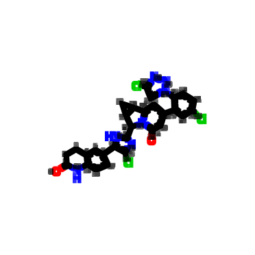 O=C1CCc2cc(-c3[nH]c(C4C5CC5c5cc(-c6cc(Cl)ccc6-n6cc(Cl)nn6)cc(=O)n54)nc3Cl)ccc2N1